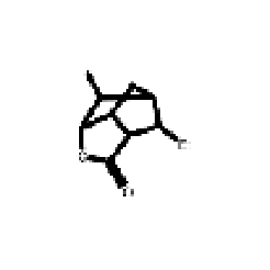 CCC1C2CC3C(OC(=O)C13)C2C